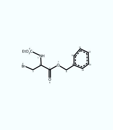 CCOC(=O)NC(CBr)C(=O)OCc1ccccc1